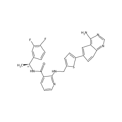 C[C@H](NC(=O)c1cccnc1NCc1ccc(-c2ccc3ncnc(N)c3c2)s1)c1ccc(F)c(F)c1